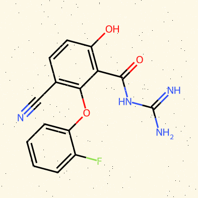 N#Cc1ccc(O)c(C(=O)NC(=N)N)c1Oc1ccccc1F